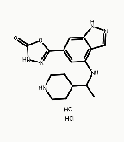 CC(Nc1cc(-c2n[nH]c(=O)o2)cc2[nH]ncc12)C1CCNCC1.Cl.Cl